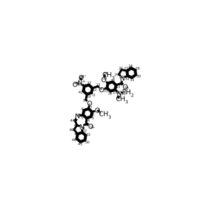 COc1cc2c(cc1OCc1cc(COc3cc(N(C)P)c(C(=O)N4CCc5ccccc54)cc3OC)cc([N+](=O)[O-])c1)N=CC1Cc3ccccc3N1C2=O